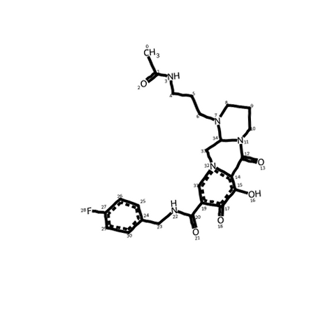 CC(=O)NCCCN1CCCN2C(=O)c3c(O)c(=O)c(C(=O)NCc4ccc(F)cc4)cn3CC12